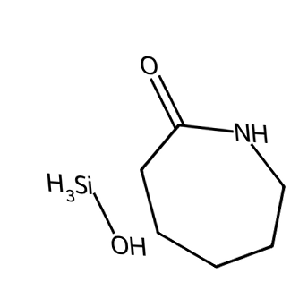 O=C1CCCCCN1.O[SiH3]